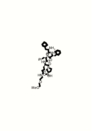 COCCOCCNCCCC[C@@H](NC(=O)[C@@H](CC(C)C)NC(=O)[C@@H](Cc1ccccc1)NC(=O)[C@H](N)Cc1ccccc1)C(=O)N1CCC(B(O)O)C1